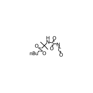 CCCCS(=O)(=O)C(C)(C)NS(=O)(=O)N=C=O